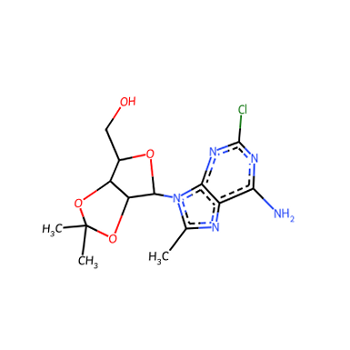 Cc1nc2c(N)nc(Cl)nc2n1C1OC(CO)C2OC(C)(C)OC21